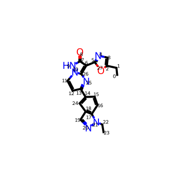 CCc1cnc(-c2c(=O)[nH]n3ccc(-c4ccc5c(cnn5CC)c4)nc23)o1